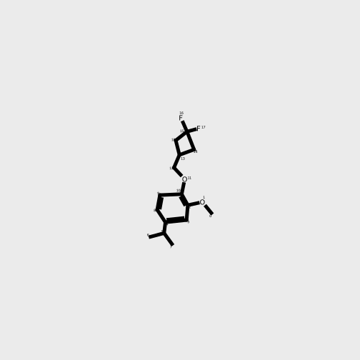 COc1cc(C(C)C)ccc1OCC1CC(F)(F)C1